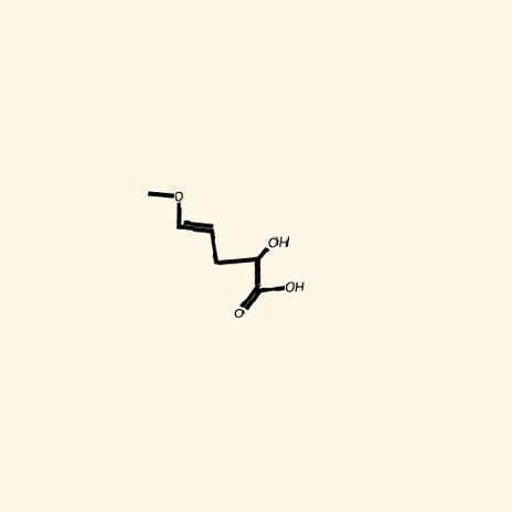 COC=CCC(O)C(=O)O